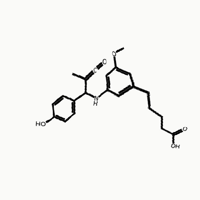 COc1cc(CCCCC(=O)O)cc(NC(C(C)=C=O)c2ccc(O)cc2)c1